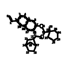 C=Cc1ccc2cc(OC(OCC3CC4CCC3C4)C3(C)CCCCC3)ccc2c1